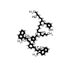 C=C(/C=C/C1=C(Oc2cccc(C3OC(CCCC4CC(CCCC(O)CC)OC(c5cccc(O)c5)O4)CC(CC(O)CC)O3)c2)C(=C/C=C2/N(C)c3ccc4ccccc4c3C2(C)C)/CCC1)C(C)(C)c1c(C)ccc2ccccc12